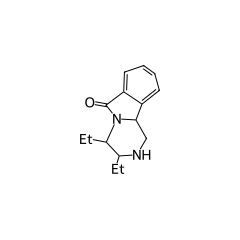 CCC1NCC2c3ccccc3C(=O)N2C1CC